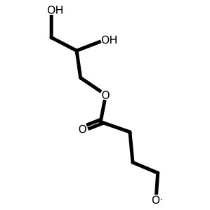 [O]CCCC(=O)OCC(O)CO